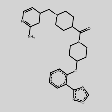 NC1=NC=CC(CN2CCC(C(=O)N3CCC(Oc4ccccc4-c4ncon4)CC3)CC2)C1